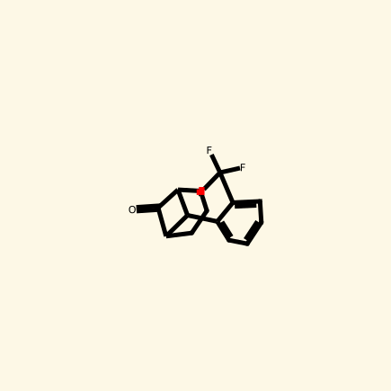 O=C1C2CCCC1C2c1ccccc1C(F)(F)F